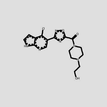 O=C(c1nc(-c2cnc3[nH]ccc3c2Cl)no1)N1CCN(CCO)CC1